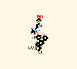 C/C=C(\C=C/C(=C/CC)OCC1(NC/C=C/C(=O)N2CC(O)C2)CC1)C(=C(/CC(F)(F)F)c1ccccc1)/c1ccc(NC)c(/C(F)=C/CC)c1